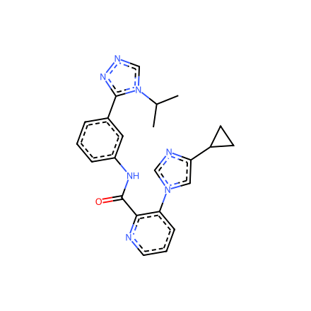 CC(C)n1cnnc1-c1cccc(NC(=O)c2ncccc2-n2cnc(C3CC3)c2)c1